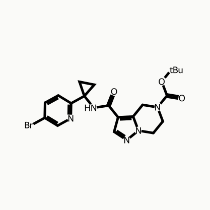 CC(C)(C)OC(=O)N1CCn2ncc(C(=O)NC3(c4ccc(Br)cn4)CC3)c2C1